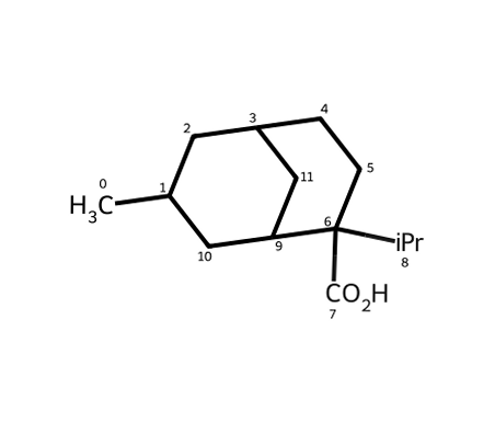 CC1CC2CCC(C(=O)O)(C(C)C)C(C1)C2